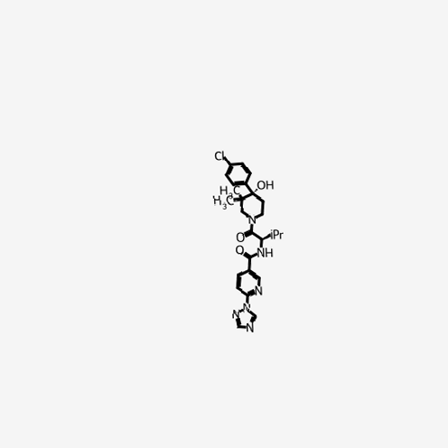 CC(C)[C@@H](NC(=O)c1ccc(-n2cncn2)nc1)C(=O)N1CC[C@](O)(c2ccc(Cl)cc2)C(C)(C)C1